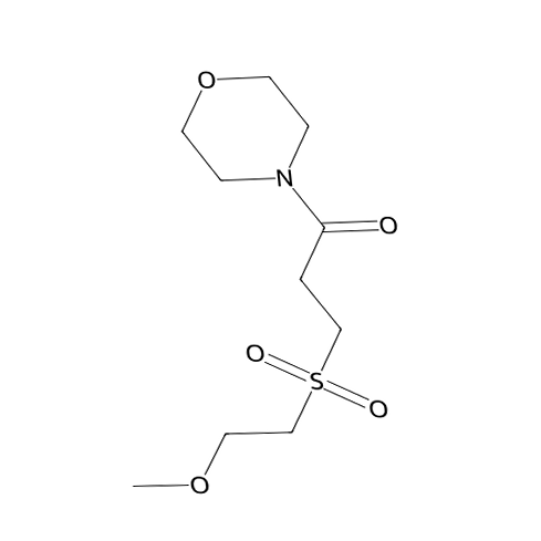 COCCS(=O)(=O)CCC(=O)N1CCOCC1